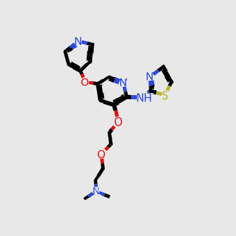 CN(C)CCOCCOc1cc(Oc2ccncc2)cnc1Nc1nccs1